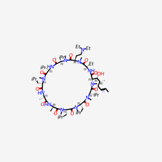 C/C=C/C[C@@H](C)[C@@H](O)[C@H]1C(=O)N[C@@H](CC)C(=O)N(C)[C@H](CCN(CC)CC)C(=O)N(C)[C@@H](C(C)C)C(=O)N[C@@H](C(C)C)C(=O)N(C)[C@@H](CC(C)C)C(=O)N[C@@H](C)C(=O)N[C@H](C)C(=O)N(C)[C@@H](CC(C)C)C(=O)N(C)[C@@H](CC(C)C)C(=O)N(C)[C@@H](C(C)C)C(=O)N1C